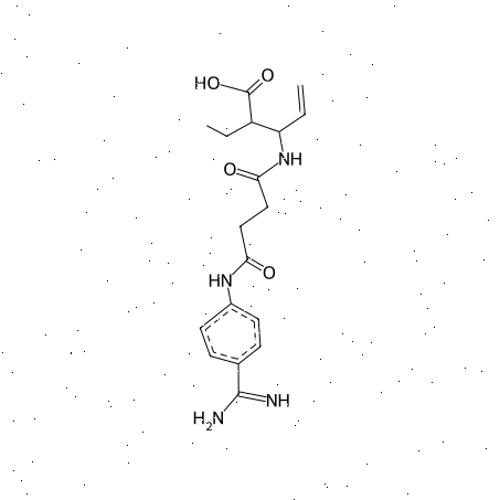 C=CC(NC(=O)CCC(=O)Nc1ccc(C(=N)N)cc1)C(CC)C(=O)O